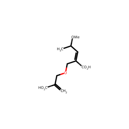 C=C(COCC(=CC(C)OC)C(=O)O)C(=O)O